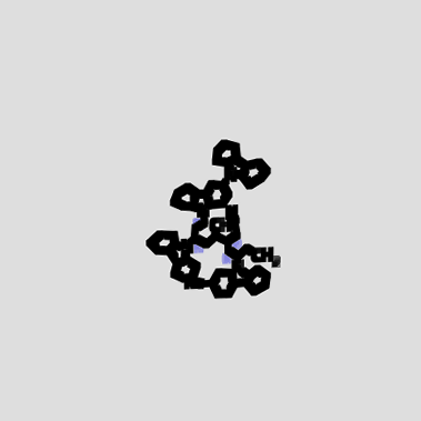 C=C/C(=C\C(=C\C#N)C(=C)/C=C(\C=C\n1c2ccccc2c2cc(-n3c4ccccc4c4ccccc43)ccc21)n1c2ccccc2c2ccccc21)n1c2ccccc2c2ccc(C#N)cc21